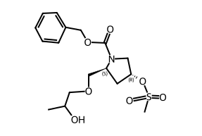 CC(O)COC[C@@H]1C[C@@H](OS(C)(=O)=O)CN1C(=O)OCc1ccccc1